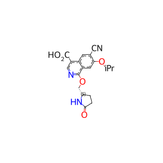 CC(C)Oc1cc2c(OC[C@@H]3CCC(=O)N3)ncc(C(=O)O)c2cc1C#N